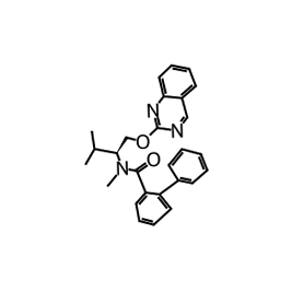 CC(C)[C@@H](COc1ncc2ccccc2n1)N(C)C(=O)c1ccccc1-c1ccccc1